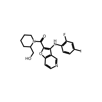 O=C(c1oc2ccncc2c1Nc1ccc(I)cc1F)N1CCCCC1CO